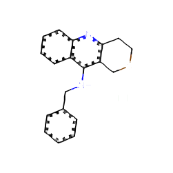 Cl.c1ccc(CNc2c3c(nc4ccccc24)CCSC3)cc1